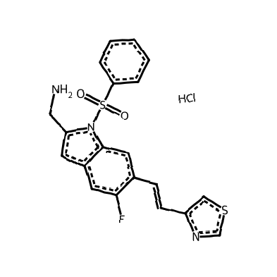 Cl.NCc1cc2cc(F)c(/C=C/c3cscn3)cc2n1S(=O)(=O)c1ccccc1